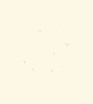 C(=NCCN1CCOCC1)=NC1CCCCC1.Cc1ccc(O)c(C)c1S(N)(=O)=O